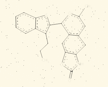 CCCc1c(-c2[o+]c(C)cc3cc4[nH]c(=O)oc4cc23)sc2ccccc12